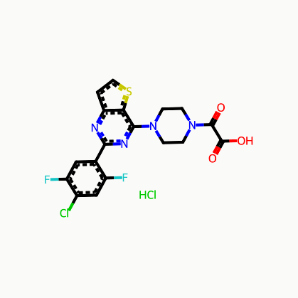 Cl.O=C(O)C(=O)N1CCN(c2nc(-c3cc(F)c(Cl)cc3F)nc3ccsc23)CC1